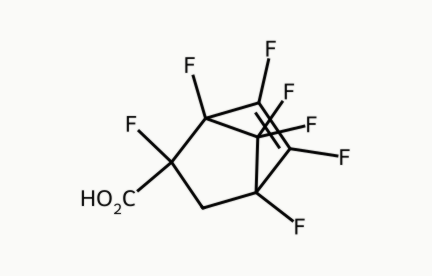 O=C(O)C1(F)CC2(F)C(F)=C(F)C1(F)C2(F)F